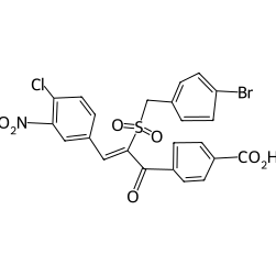 O=C(O)c1ccc(C(=O)C(=Cc2ccc(Cl)c([N+](=O)[O-])c2)S(=O)(=O)Cc2ccc(Br)cc2)cc1